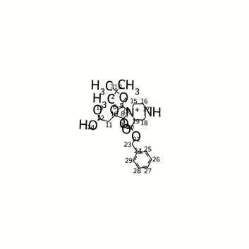 CC(C)(C)OC(=O)[N@@+]1(C(=O)CCC(=O)O)CCNCC1C(=O)OCc1ccccc1